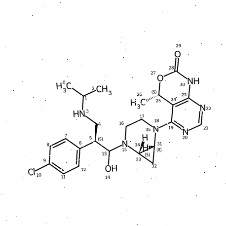 CC(C)NC[C@H](c1ccc(Cl)cc1)C(O)N1CCN(c2ncnc3c2[C@H](C)OC(=O)N3)[C@@H]2C[C@@H]21